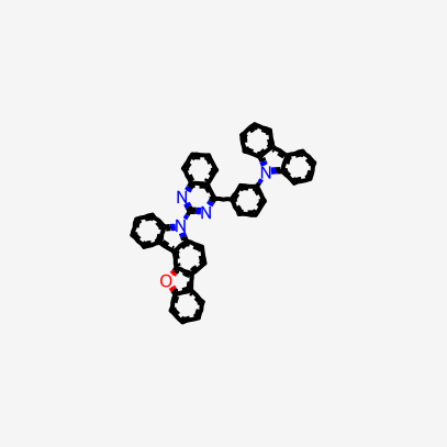 c1cc(-c2nc(-n3c4ccccc4c4c5oc6ccccc6c5ccc43)nc3ccccc23)cc(-n2c3ccccc3c3ccccc32)c1